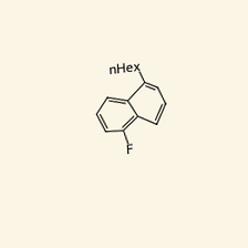 [CH2]CCCCCc1cccc2c(F)cccc12